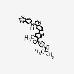 Cc1cc(-c2ccc3nccc(Nc4ccc5scnc5c4)c3c2)c(F)cc1C(=O)N1CCN(C(=O)C(C)C)CC1